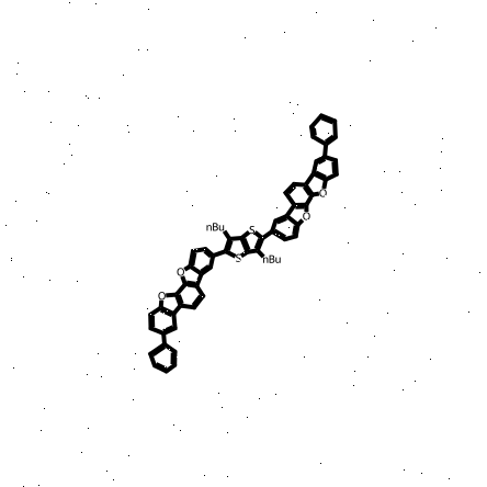 CCCCc1c(-c2ccc3oc4c(ccc5c6cc(-c7ccccc7)ccc6oc54)c3c2)sc2c(CCCC)c(-c3ccc4oc5c(ccc6c7cc(-c8ccccc8)ccc7oc65)c4c3)sc12